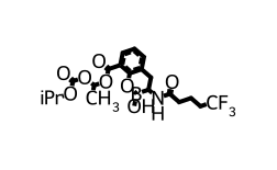 CC(C)OC(=O)OC(C)OC(=O)c1cccc2c1OB(O)C(NC(=O)CCCC(F)(F)F)C2